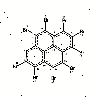 Brc1[c]c2c(Br)c(Br)c3c(Br)c(Br)c(Br)c4c(Br)c(Br)c(c1Br)c2c34